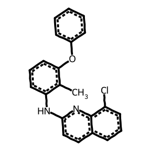 Cc1c(Nc2ccc3cccc(Cl)c3n2)cccc1Oc1ccccc1